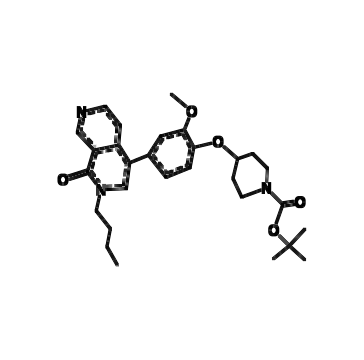 CCCCn1cc(-c2ccc(OC3CCN(C(=O)OC(C)(C)C)CC3)c(OC)c2)c2ccncc2c1=O